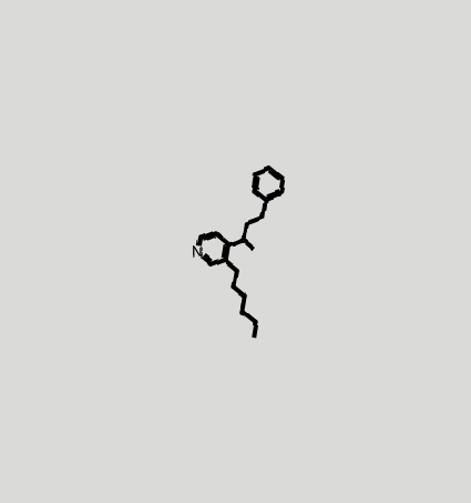 CCCCCCc1cnccc1C(C)CCc1ccccc1